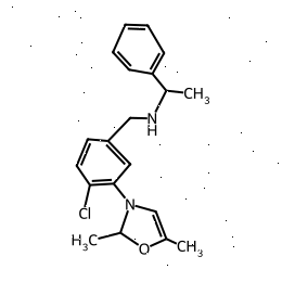 CC1=CN(c2cc(CNC(C)c3ccccc3)ccc2Cl)C(C)O1